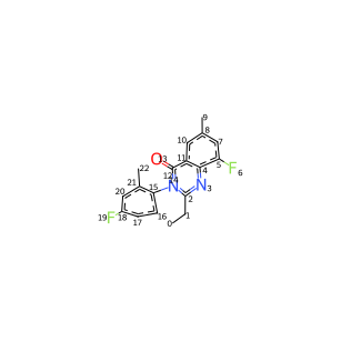 CCc1nc2c(F)cc(C)cc2c(=O)n1-c1ccc(F)cc1C